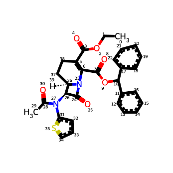 CCOC(=O)C1=C(C(=O)OC(c2ccccc2)c2ccccc2)N2C(=O)[C@@H](N(C(C)=O)c3cccs3)[C@H]2CC1